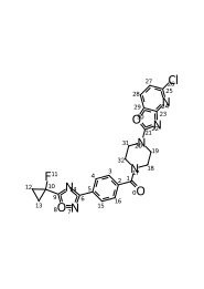 O=C(c1ccc(-c2noc(C3(F)CC3)n2)cc1)N1CCN(c2nc3nc(Cl)ccc3o2)CC1